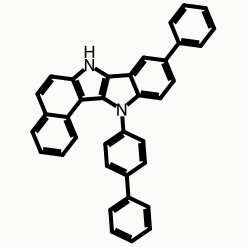 c1ccc(-c2ccc(-n3c4ccc(-c5ccccc5)cc4c4[nH]c5ccc6ccccc6c5c43)cc2)cc1